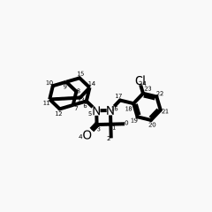 CC1(C)C(=O)N(C2C3CC4CC(C3)CC2C4)N1Cc1ccccc1Cl